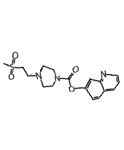 CS(=O)(=O)CCN1CCN(C(=O)Oc2ccc3cccnc3c2)CC1